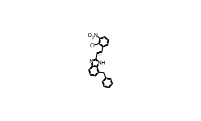 O=[N+]([O-])c1cccc(/C=C/c2nc3cccc(Cc4ccccc4)c3[nH]2)c1Cl